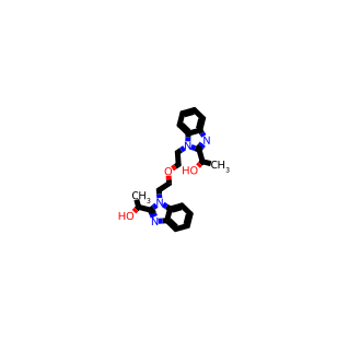 CC(O)c1nc2ccccc2n1CCOCCn1c(C(C)O)nc2ccccc21